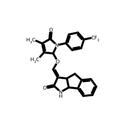 CC1=C(C)C(OC=C2C(=O)NC3c4ccccc4CC23)N(c2ccc(C(F)(F)F)cc2)C1=O